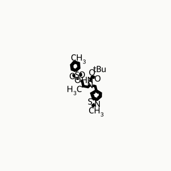 Cc1ccc(S(=O)(=O)OC[C@H](C)CN(Cc2ccc3nc(C)sc3c2)NC(=O)OC(C)(C)C)cc1